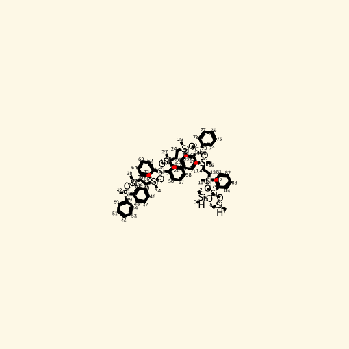 C[SiH](C)O[Si](O[SiH](C)C)(O[Si](C)(C)CC[Si](C)(C)O[Si](O[Si](C)(C)CC[Si](C)(C)O[Si](O[Si](C)(C)CC[Si](C)(C)O[Si](C)(c1ccccc1)c1ccccc1)(c1ccccc1)c1ccccc1)(c1ccccc1)c1ccccc1)c1ccccc1